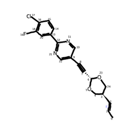 C/C=C/[C@H]1CO[C@H](C#Cc2cnc(-c3ccc(Cl)c(F)c3)nc2)OC1